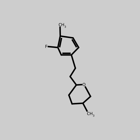 Cc1ccc(CCC2CCC(C)CO2)cc1F